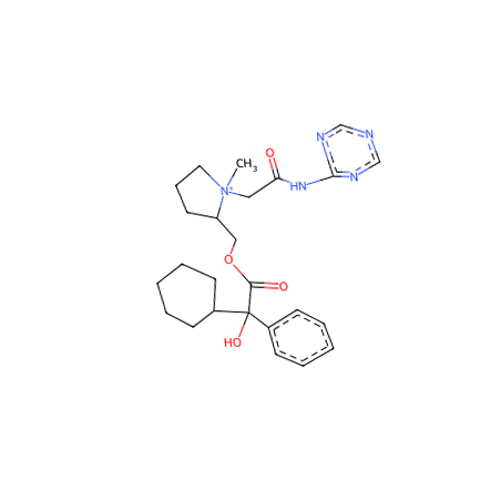 C[N+]1(CC(=O)Nc2ncncn2)CCCC1COC(=O)C(O)(c1ccccc1)C1CCCCC1